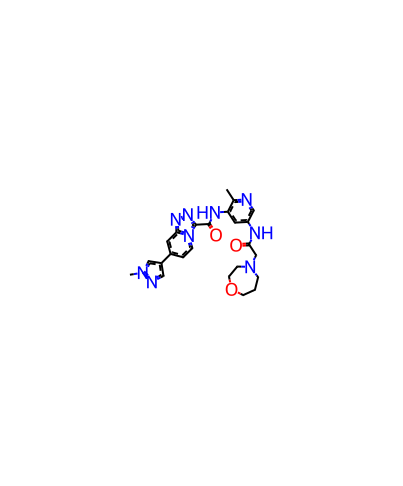 Cc1ncc(NC(=O)CN2CCCOCC2)cc1NC(=O)c1nnc2cc(-c3cnn(C)c3)ccn12